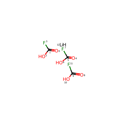 O=C(O)F.O=C(O)F.O=C(O)F.[LiH]